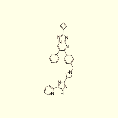 C1=CC(c2nc3nc(-c4ccc(CN5CC(c6n[nH]c(-c7ccccn7)n6)C5)cc4)c(-c4ccccc4)cn3n2)=C1